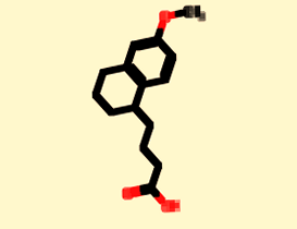 COc1ccc2c(c1)CCCC2CCCC(=O)O